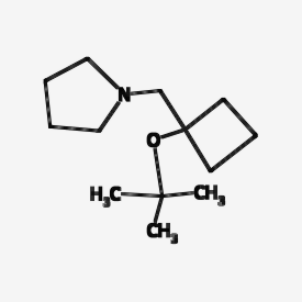 CC(C)(C)OC1(CN2CCCC2)CCC1